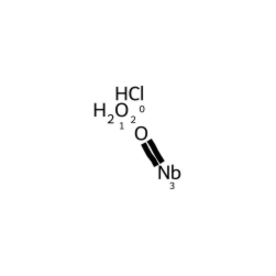 Cl.O.[O]=[Nb]